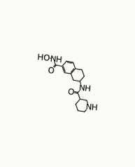 O=C(NO)c1ccc2c(c1)CC(NC(=O)C1CCCNC1)CC2